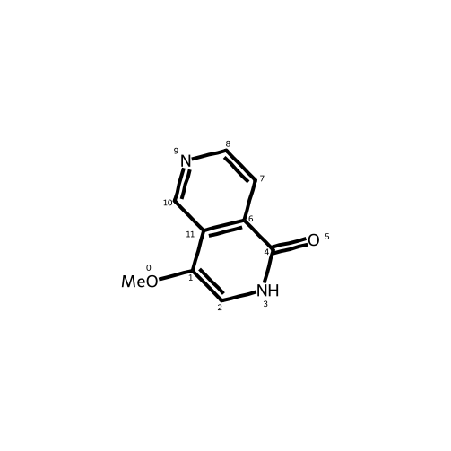 COc1c[nH]c(=O)c2ccncc12